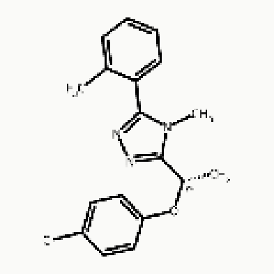 C[C@H](Oc1ccc(Cl)cc1)c1nnc(-c2ccccc2C(F)(F)F)n1C